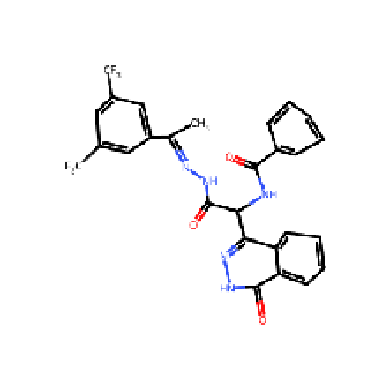 CC(=NNC(=O)C(NC(=O)c1ccccc1)c1n[nH]c(=O)c2ccccc12)c1cc(C(F)(F)F)cc(C(F)(F)F)c1